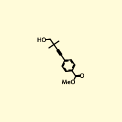 COC(=O)c1ccc(C#CC(C)(C)CO)cc1